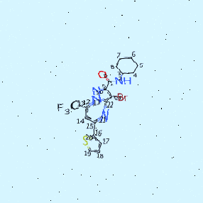 O=C(NC1CCCCC1)c1nn2c(C(F)(F)F)cc(-c3cccs3)nc2c1Br